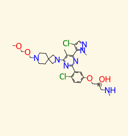 CNC[C@@H](O)COc1ccc(Cl)c(-c2nc(-c3c(Cl)cnn3C)c(C)c(N3CC4(CCN(COCOC)CC4)C3)n2)c1